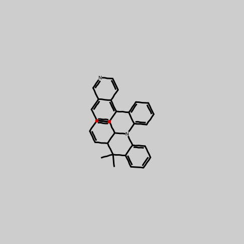 CC1(C)c2ccccc2N(c2ccccc2-c2cccc3cnccc23)C2C=CC=CC21